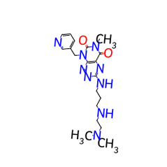 CN(C)CCNCCCNc1nnc2c(n1)c(=O)n(C)c(=O)n2Cc1cccnc1